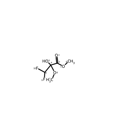 COC(=O)C(O)(OC)C(F)F